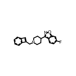 Fc1ccc2c(C3CCN(CC4=Cc5ccccc54)CC3)noc2c1